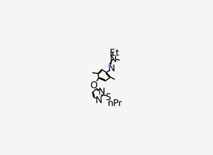 CCCSc1nccc(Oc2cc(C)c(/N=C/N(C)CC)cc2C)n1